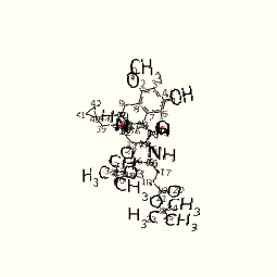 COc1cc(O)c2c3c1C[C@@H]1[C@@H]4CC[C@H](N[C@@H](CCC(=O)OC(C)(C)C)C(=O)OC(C)(C)C)[C@H](O2)[C@]34CCN1CC1CC1